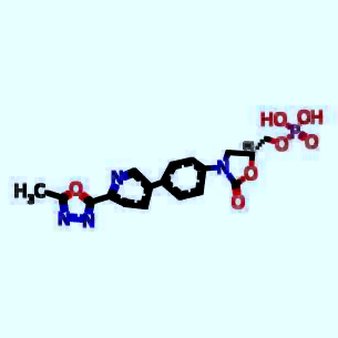 Cc1nnc(-c2ccc(-c3ccc(N4C[C@H](COP(=O)(O)O)OC4=O)cc3)cn2)o1